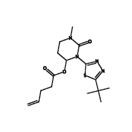 C=CCCC(=O)OC1CCN(C)C(=O)N1c1nnc(C(C)(C)C)s1